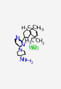 CC1(C)C=CC(C)(C)C2=C1CCC(c1nccc(N3CCC(N)CC3)n1)C2.Cl.Cl